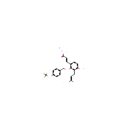 CONC(=O)/C=C/c1ccc(OC)c(CC=C(C)C)c1OCc1ccc(OC(Br)(Br)Br)cc1